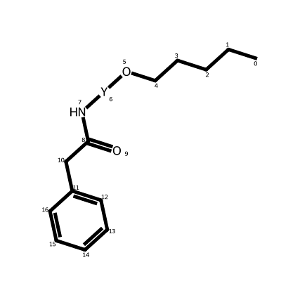 CCCCC[O][Y][NH]C(=O)Cc1ccccc1